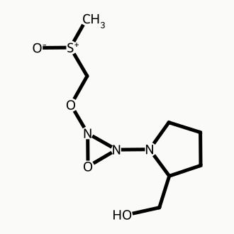 C[S+]([O-])COn1on1N1CCCC1CO